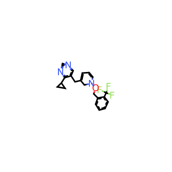 FC(F)(F)c1ccccc1CON1C=CC=C(Cc2cncnc2C2CC2)C1